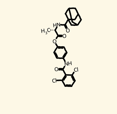 C[C@H](NC(=O)C12CC3CC(CC(C3)C1)C2)C(=O)Oc1ccc(NC(=O)c2c(Cl)cccc2Cl)cc1